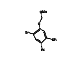 COCOc1cc(O)c(C(C)=O)cc1Br